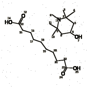 CN1C(C)(C)CC(O)CC1(C)C.O=C(O)CCCCCCCCC(=O)O